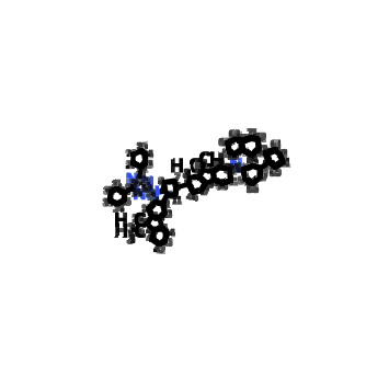 CC1(C)c2cc(-c3ccc4c(c3)c3cc5c(cc3n4-c3nc(-c4ccccc4)nc(-c4ccccc4)n3)C(C)(C)c3ccccc3-5)ccc2-c2ccc(N(c3cccc(-c4ccccc4)c3)c3cccc4ccccc34)cc21